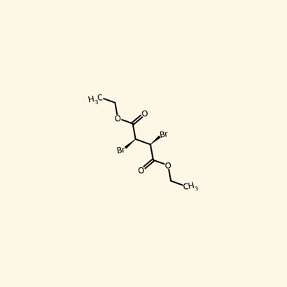 CCOC(=O)[C@H](Br)[C@@H](Br)C(=O)OCC